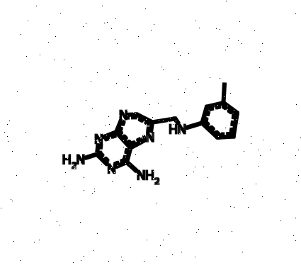 Cc1cccc(NCc2cnc3nc(N)nc(N)c3n2)c1